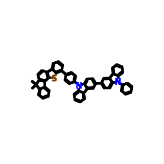 CC1(C)c2ccccc2-c2c1ccc1c2sc2c(-c3ccc(-n4c5ccccc5c5cc(-c6ccc7c(c6)c6ccccc6n7-c6ccccc6)ccc54)cc3)cccc21